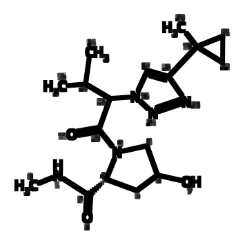 CNC(=O)[C@H]1CC(O)CN1C(=O)C(C(C)C)n1cc(C2(C)CC2)nn1